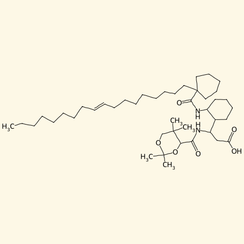 CCCCCCCCC=CCCCCCCCCC1(C(=O)NC2CCCCC2C(CC(=O)O)NC(=O)C2OC(C)(C)OCC2(C)C)CCCCC1